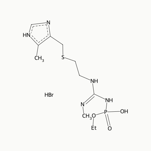 Br.CCOP(=O)(O)NC(=NC)NCCSCc1nc[nH]c1C